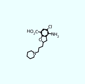 Nc1c(Cl)cc(C(=O)O)c2c1CC(CCCN1CCCCC1)O2